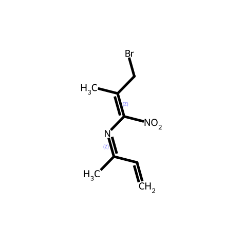 C=C/C(C)=N\C(=C(/C)CBr)[N+](=O)[O-]